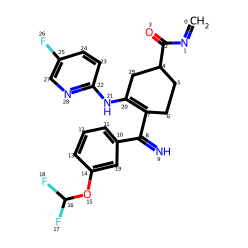 C=NC(=O)C1CCC(C(=N)c2cccc(OC(F)F)c2)=C(Nc2ccc(F)cn2)C1